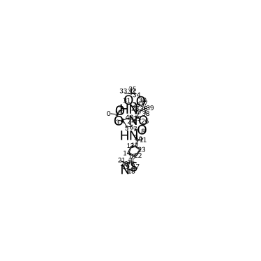 CC(=O)O[C@@H]1C[C@@H](C(=O)N[C@@H](C)c2ccc(-c3scnc3C)cc2)N(C(=O)[C@@H](NC(=O)OC(C)(C)C)C(C)(C)C)C1